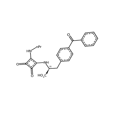 CCCNc1c(N[C@@H](Cc2ccc(C(=O)c3ccccc3)cc2)C(=O)O)c(=O)c1=O